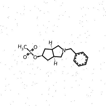 CS(=O)(=O)O[C@@H]1C[C@@H]2CN(Cc3ccccc3)C[C@@H]2C1